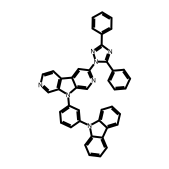 c1ccc(-c2nc(-c3ccccc3)n(-c3cc4c5ccncc5n(-c5cccc(-n6c7ccccc7c7ccccc76)c5)c4cn3)n2)cc1